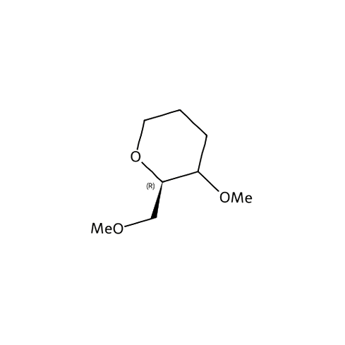 COC[C@H]1OCCCC1OC